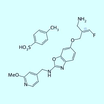 COc1cc(CNc2nc3ccc(OC/C(=C\F)CN)cc3o2)ccn1.Cc1ccc(S(=O)(=O)O)cc1